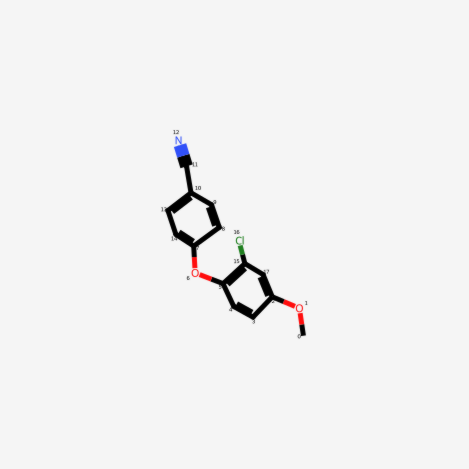 COc1ccc(Oc2ccc(C#N)cc2)c(Cl)c1